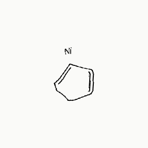 C1=CCC=C1.[Ni]